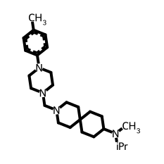 Cc1ccc(N2CCN(CN3CCC4(CCC(N(C)C(C)C)CC4)CC3)CC2)cc1